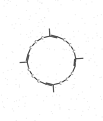 CC1=CCCCC(C)=CCCCC(C)=CCCCC(C)=CCCC1